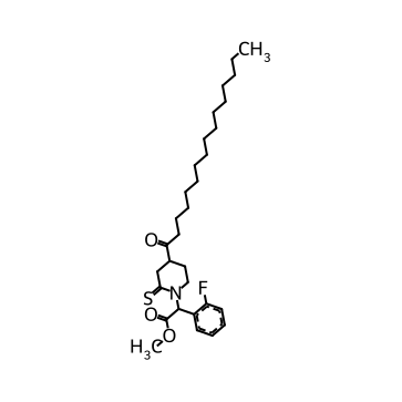 CCCCCCCCCCCCCCCC(=O)C1CCN(C(C(=O)OC)c2ccccc2F)C(=S)C1